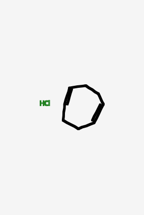 C1=CCCC=CCC1.Cl